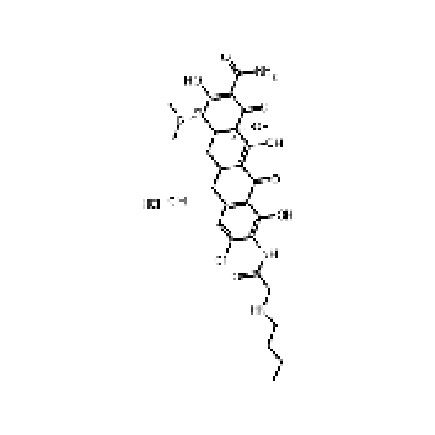 CCCCNCC(=O)Nc1c(Cl)cc2c(c1O)C(=O)C1=C(O)[C@]3(O)C(=O)C(C(N)=O)=C(O)[C@@H](N(C)C)C3CC1C2.Cl.Cl